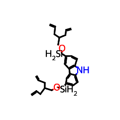 C=CCC(CC=C)CO[SiH2]c1ccc2[nH]c3ccc([SiH2]OCC(CC=C)CC=C)cc3c2c1